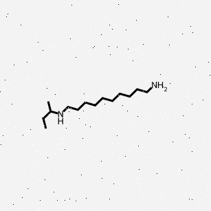 CCC(C)NCCCCCCCCCCN